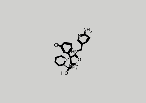 NC(=O)[C@](C(=O)NCc1ccc(N)nc1)(c1cccc(Cl)c1)N1CCCC[C@@H]1C(=O)O